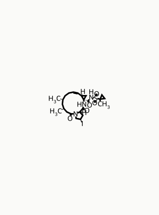 C[C@@H]1CC/C=C\[C@H]2C[C@@]2(C(=O)NS(=O)(=O)C2(C)CC2)NC(=O)[C@@H]2C[C@@H](I)CN2C(=O)C[C@H](C)C1